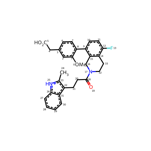 COc1cc(CC(=O)O)ccc1-c1ccc(F)c2c1CN(C(=O)CCc1c(C)[nH]c3ccccc13)CC2